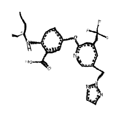 CC[C@H](C)Nc1ccc(Oc2ncc(Cn3nccn3)cc2C(F)(F)F)cc1C(=O)O